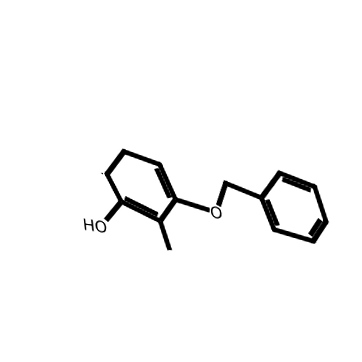 CC1=C(O)[CH]CC=C1OCc1ccccc1